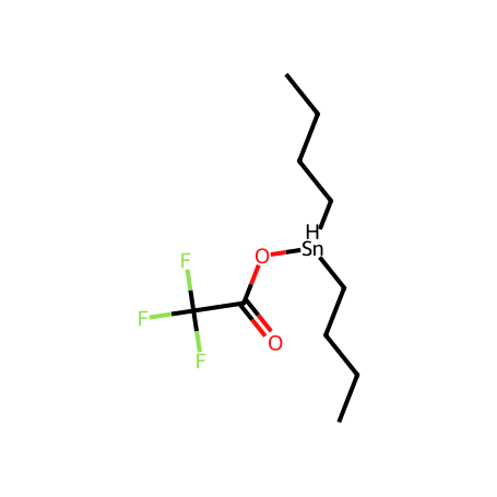 CCC[CH2][SnH]([CH2]CCC)[O]C(=O)C(F)(F)F